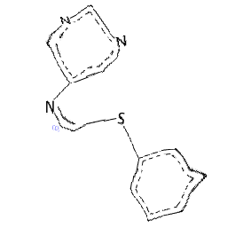 C(=N/c1cncnc1)/Sc1ccccc1